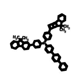 CC1(C)C2=CC(C3C=CC(N(c4ccc(C5=CC6=C7C8C=CC=CC8C(C)(C)C7C56)cc4)c4ccc(-c5ccc(-c6ccccc6)cc5)cc4)=CC3)=CCC2C2=C1C=CCC2